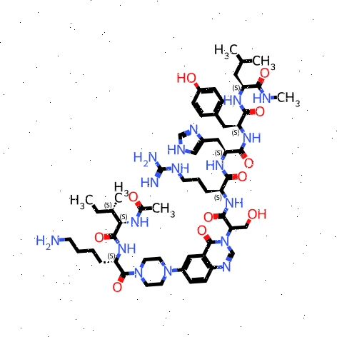 CC[C@H](C)[C@H](NC(C)=O)C(=O)N[C@@H](CCCCN)C(=O)N1CCN(c2ccc3ncn(C(CO)C(=O)N[C@@H](CCCNC(=N)N)C(=O)N[C@@H](Cc4c[nH]cn4)C(=O)N[C@@H](Cc4ccc(O)cc4)C(=O)N[C@@H](CC(C)C)C(=O)NC)c(=O)c3c2)CC1